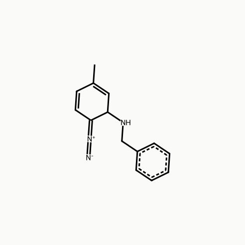 CC1=CC(NCc2ccccc2)C(=[N+]=[N-])C=C1